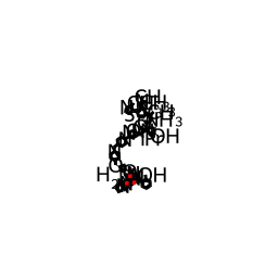 Cc1ncsc1-c1ccc(C(C)NC(=O)[C@@H]2C[C@@H](O)CN2C(=O)[C@@H](c2cc(N3CCC(CN4CCC(O[C@H]5C[C@H](Oc6cc(N7C8CCC7CN(c7cc(-c9ccccc9O)nnc7N)C8)ccn6)C5)CC4)CC3)no2)C(C)C)cc1CN(C)C